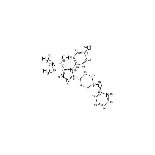 CC(c1nnc([C@H]2CC[C@H](Oc3ccccn3)CC2)n1-c1ccc(Cl)cc1)N(C)C